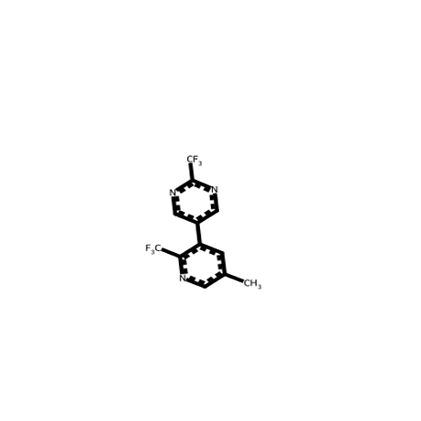 Cc1cnc(C(F)(F)F)c(-c2cnc(C(F)(F)F)nc2)c1